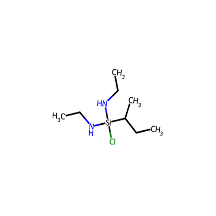 CCN[Si](Cl)(NCC)C(C)CC